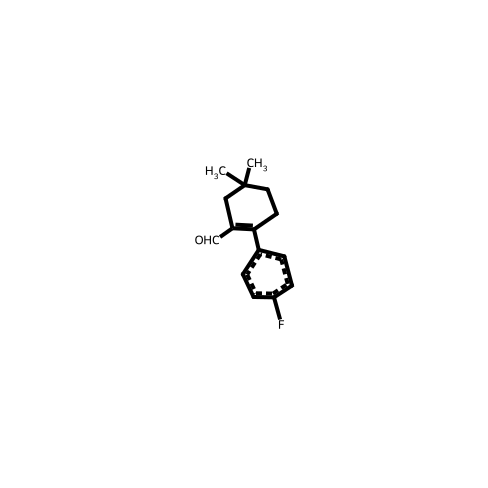 CC1(C)CCC(c2ccc(F)cc2)=C(C=O)C1